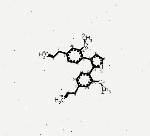 C=CCc1ccc(-c2ccoc2-c2ccc(CC=C)cc2OC)c(OC)c1